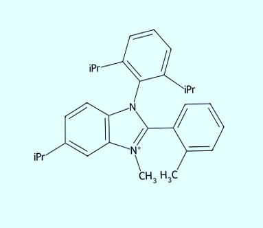 Cc1ccccc1-c1n(-c2c(C(C)C)cccc2C(C)C)c2ccc(C(C)C)cc2[n+]1C